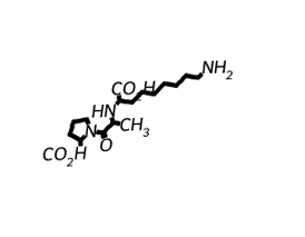 CC(NC(CCCCCCCN)C(=O)O)C(=O)N1CCCC1C(=O)O